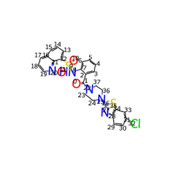 O=C(c1ccccc1NS(=O)(=O)c1cccc2cccnc12)N1CCN(c2nc3ccc(Cl)cc3s2)CC1